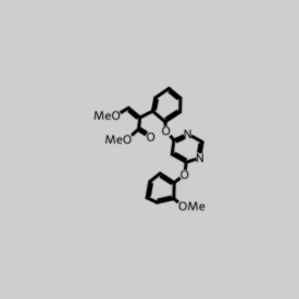 COC=C(C(=O)OC)c1ccccc1Oc1cc(Oc2ccccc2OC)ncn1